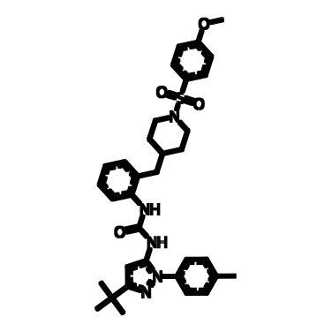 COc1ccc(S(=O)(=O)N2CCC(Cc3ccccc3NC(=O)Nc3cc(C(C)(C)C)nn3-c3ccc(C)cc3)CC2)cc1